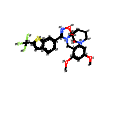 COc1ccc(CN2C(c3ccc4cc(C(F)(F)F)sc4c3)=NO[C@@]23CN2CCC3CC2)c(OC)c1